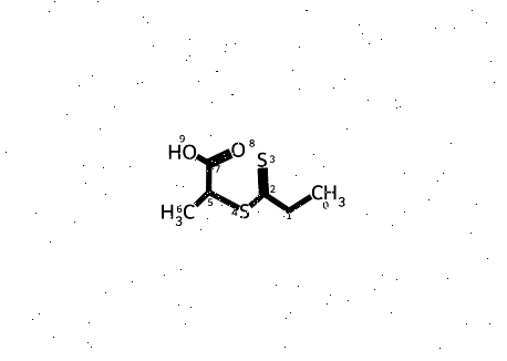 CCC(=S)SC(C)C(=O)O